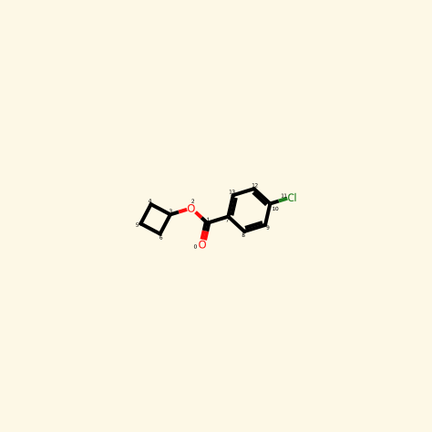 O=C(OC1CCC1)c1ccc(Cl)cc1